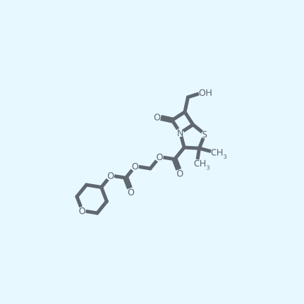 CC1(C)SC2C(CO)C(=O)N2C1C(=O)OCOC(=O)OC1CCOCC1